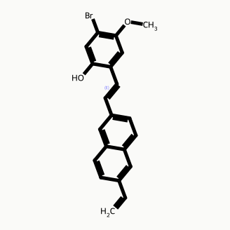 C=Cc1ccc2cc(/C=C/c3cc(OC)c(Br)cc3O)ccc2c1